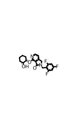 O=C1c2c(ccnc2O[C@H]2CCCC[C@@H]2O)CN1Cc1c(F)cc(F)cc1F